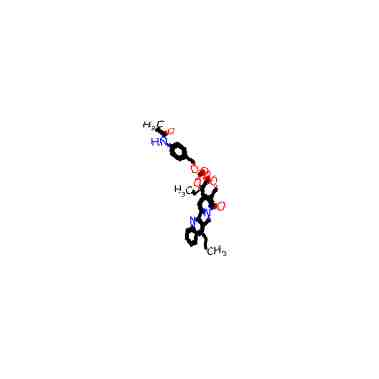 CCCc1c2c(nc3ccccc13)-c1cc3c(c(=O)n1C2)COC(=O)[C@@]3(CC)OC(=O)OCc1ccc(NC(=O)CC)cc1